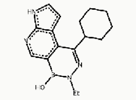 CCN1N=C(C2CCCCC2)c2c(cnc3[nH]ccc23)B1O